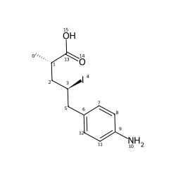 C[C@@H](C[C@@H](I)Cc1ccc(N)cc1)C(=O)O